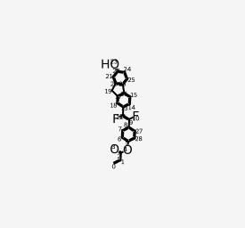 C=CC(=O)Oc1ccc(/C(F)=C(\F)c2ccc3c(c2)Cc2cc(O)ccc2-3)cc1